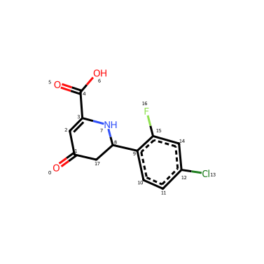 O=C1C=C(C(=O)O)NC(c2ccc(Cl)cc2F)C1